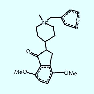 COc1ccc(OC)c2c1CC(C1CC[N+](C)(Cc3ccccc3)CC1)C2=O